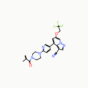 C=C(C)C(=O)N1CCN(c2ccc(-c3cc(OCC(F)(F)F)cn4ncc(C#N)c34)cn2)CC1